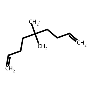 [CH2]C([CH2])(C[CH]C=C)C[CH]C=C